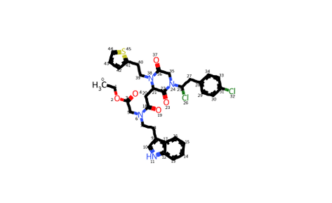 CCOC(=O)CN(CCc1c[nH]c2ccccc12)C(=O)CC1C(=O)N(C(Cl)Cc2ccc(Cl)cc2)CC(=O)N1CCc1cccs1